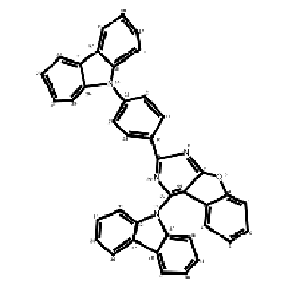 c1ccc2c(c1)oc1nc(-c3ccc(-n4c5ccccc5c5ccccc54)cc3)nc(-n3c4ccccc4c4ccccc43)c12